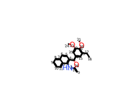 C=C1Nc2c(ccc3ccccc23)C(c2cc(CC)c(OC)c(OC)c2)O1